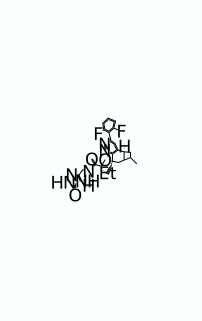 C#C[C@]1(O[C@H](CC)C(=O)NCc2n[nH]c(=O)[nH]2)CC2C(C)C[C@@H]2c2cc(-c3c(F)cccc3F)nnc21